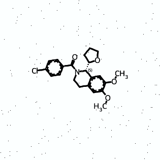 COc1cc2c(cc1OC)[C@@H](C1CCCO1)N(C(=O)c1ccc(Cl)cc1)CC2